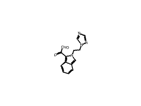 O=CC(=O)c1c2ccccc2cn1CCn1cncn1